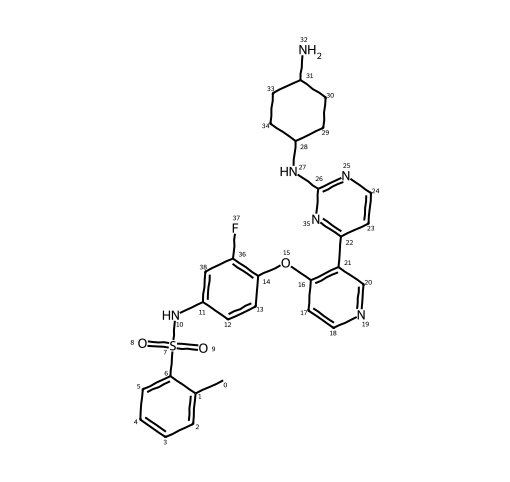 Cc1ccccc1S(=O)(=O)Nc1ccc(Oc2ccncc2-c2ccnc(NC3CCC(N)CC3)n2)c(F)c1